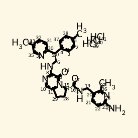 Cc1ccc([C@@H](CNc2ncc3n(c2=O)[C@H](C(=O)NCc2ccc(N)nc2C)CC3)c2ccc(C)cn2)cc1.Cl.Cl.Cl